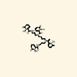 C=C(C1=CC=CC(=C)N1O)N(CCCCN(CCCNC(=O)c1cccc(=O)n1O)C(=O)c1cccc(=O)n1O)CCCNC(=O)c1cccc(=O)n1O